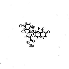 Cn1c(=O)cnc2ccc(N[C@@]3(c4c(F)ccc(Cl)c4Cl)CCN(C(=O)OC(C)(C)C)C3)cc21